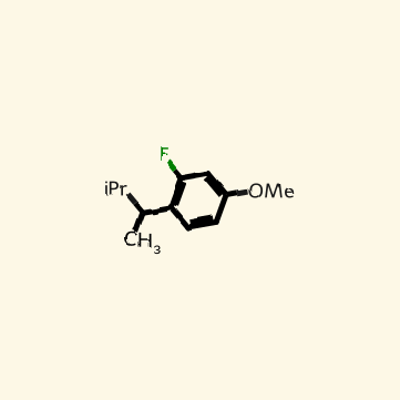 COc1ccc(C(C)C(C)C)c(F)c1